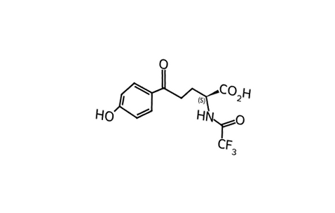 O=C(CC[C@H](NC(=O)C(F)(F)F)C(=O)O)c1ccc(O)cc1